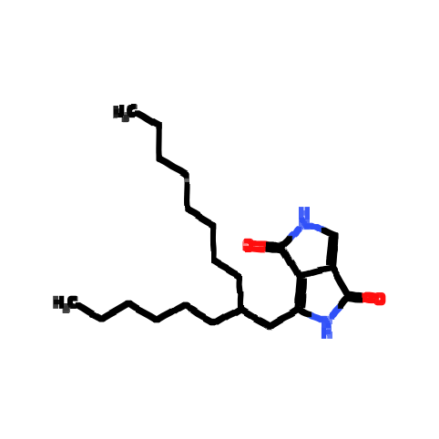 CCCCCCCCC(CCCCCC)CC1=C2C(=O)NC=C2C(=O)N1